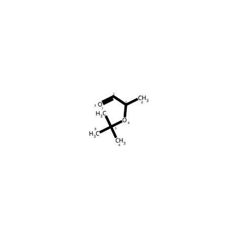 CC(C=O)OC(C)(C)C